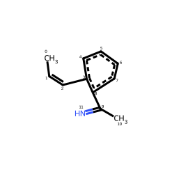 C/C=C\c1ccccc1C(C)=N